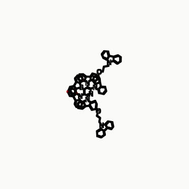 c1ccc2c(c1)B(c1c(-n3c4ccccc4c4ccccc43)c(-n3c4ccccc4c4cc(OCCCn5c6ccccc6c6ccccc65)ccc43)nc(-n3c4ccccc4c4cc(OCCCn5c6ccccc6c6ccccc65)ccc43)c1-n1c3ccccc3c3ccccc31)c1ccccc1-2